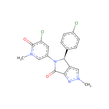 Cn1cc2c(n1)C(=O)N(c1cc(Cl)c(=O)n(C)c1)[C@H]2c1ccc(Cl)cc1